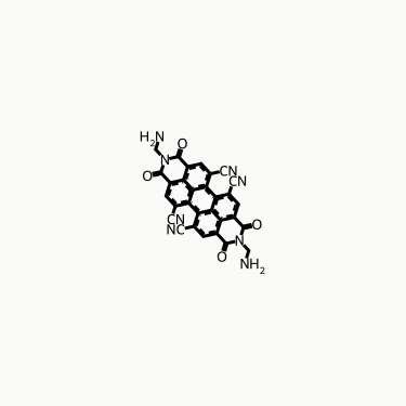 N#Cc1cc2c3c(cc(C#N)c4c5c(C#N)cc6c7c(cc(C#N)c(c1c34)c75)C(=O)N(CN)C6=O)C(=O)N(CN)C2=O